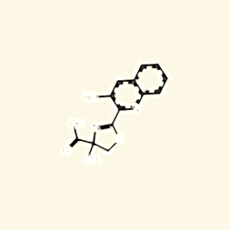 CC1(C(=O)O)CSC(c2nc3ccccc3cc2O)=N1